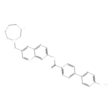 COc1ccc(-c2ccc(C(=O)Nc3ccc4cc(CN5CCCCCC5)cnc4c3)cc2)cc1